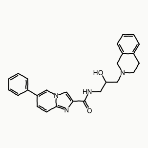 O=C(NCC(O)CN1CCc2ccccc2C1)c1cn2cc(-c3ccccc3)ccc2n1